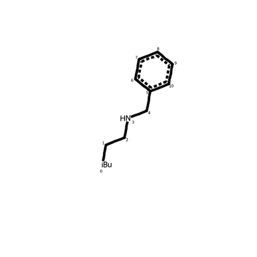 CCC(C)CCNCc1ccccc1